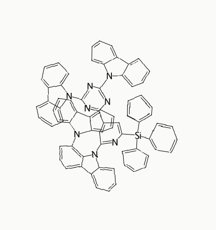 c1ccc([Si](c2ccccc2)(c2ccccc2)c2cc(-c3nc(-n4c5ccccc5c5ccccc54)nc(-n4c5ccccc5c5ccccc54)n3)cc(-n3c4ccccc4c4cccc(-n5c6ccccc6c6ccccc65)c43)n2)cc1